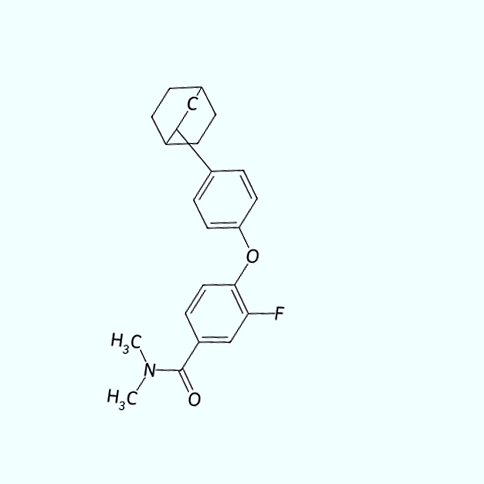 CN(C)C(=O)c1ccc(Oc2ccc(C3CC4CCC3CC4)cc2)c(F)c1